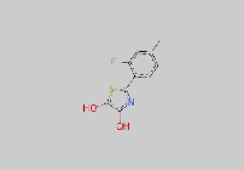 Cc1ccc(-c2nc(O)c(O)s2)c(F)c1